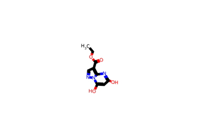 CCOC(=O)c1cnn2c(O)cc(O)nc12